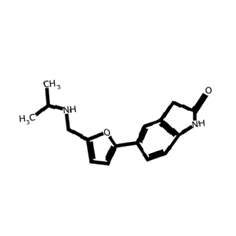 CC(C)NCc1ccc(-c2ccc3c(c2)CC(=O)N3)o1